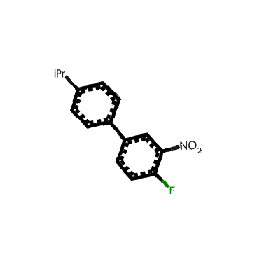 CC(C)c1ccc(-c2ccc(F)c([N+](=O)[O-])c2)cc1